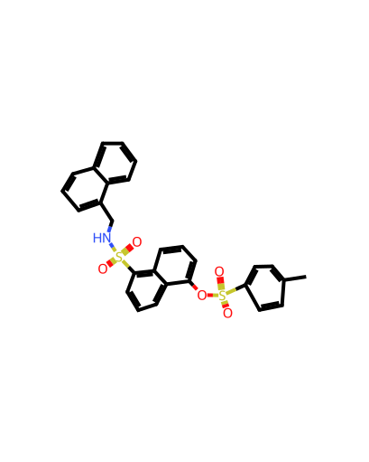 Cc1ccc(S(=O)(=O)Oc2cccc3c(S(=O)(=O)NCc4cccc5ccccc45)cccc23)cc1